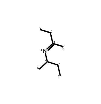 CCC(C)=NC(C)CC